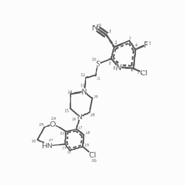 N#Cc1cc(F)c(Cl)nc1SCCN1CCN(c2cc(Cl)cc3c2OCCN3)CC1